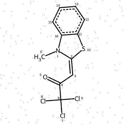 CN1C(=CC(=O)C(Cl)(Cl)Cl)Sc2ccccc21